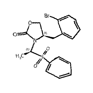 C[C@@H](N1C(=O)OC[C@H]1Cc1ccccc1Br)S(=O)(=O)c1ccccc1